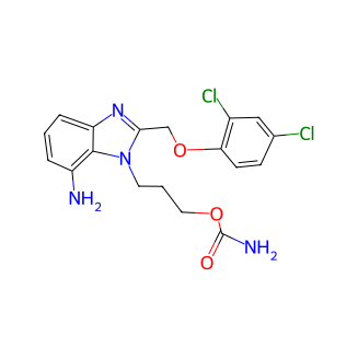 NC(=O)OCCCn1c(COc2ccc(Cl)cc2Cl)nc2cccc(N)c21